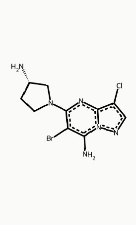 Nc1c(Br)c(N2CC[C@H](N)C2)nc2c(Cl)cnn12